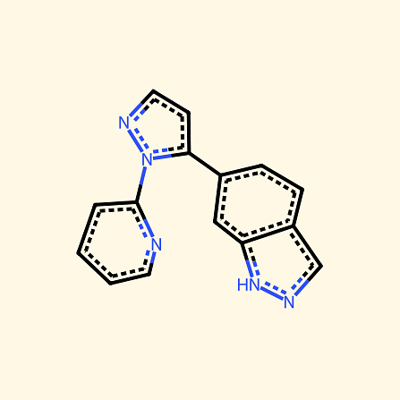 c1ccc(-n2nccc2-c2ccc3cn[nH]c3c2)nc1